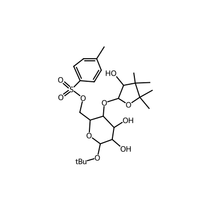 Cc1ccc(S(=O)(=O)OCC2OC(OC(C)(C)C)C(O)C(O)C2OC2OC(C)(C)C(C)(C)C2O)cc1